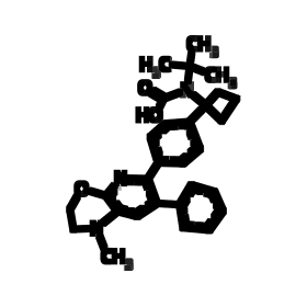 CN1CCOc2nc(-c3ccc(C4(N(C(=O)O)C(C)(C)C)CCC4)cc3)c(-c3ccccc3)cc21